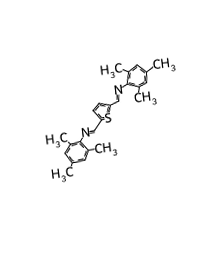 Cc1cc(C)c(/N=C/c2ccc(/C=N/c3c(C)cc(C)cc3C)s2)c(C)c1